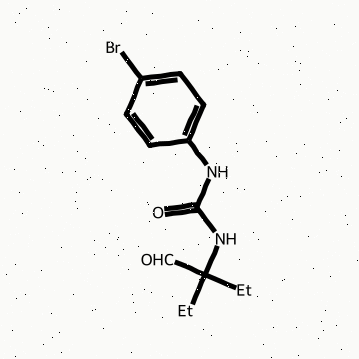 CCC(C=O)(CC)NC(=O)Nc1ccc(Br)cc1